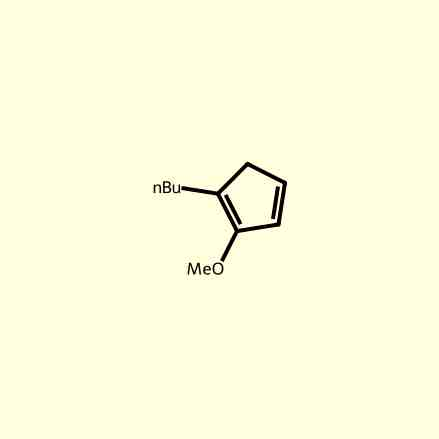 CCCCC1=C(OC)C=CC1